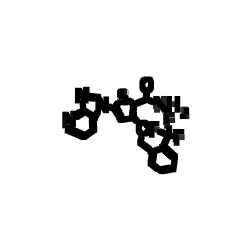 NC(=O)c1sc(-n2cnc3ncccc32)cc1OCc1ccccc1C(F)(F)F